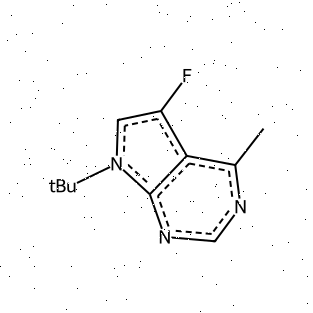 Cc1ncnc2c1c(F)cn2C(C)(C)C